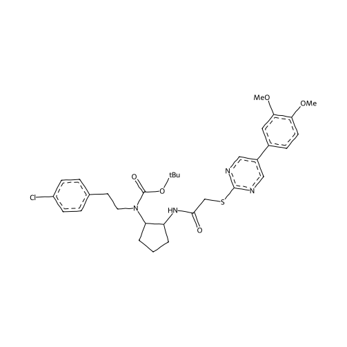 COc1ccc(-c2cnc(SCC(=O)NC3CCCC3N(CCc3ccc(Cl)cc3)C(=O)OC(C)(C)C)nc2)cc1OC